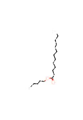 CC(C)CCCCCCCCCCCC(=O)OCCCCC(C)C